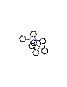 c1ccc(N2c3ccccc3N(c3cccc4c3C3(c5ccccc5-c5ccccc53)c3ccccc3-4)c3ccccc32)cc1